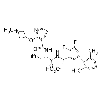 Cc1cccc(C)c1-c1cc(F)c(F)c([C@H](CC(=O)O)NC(=O)[C@H](CC(C)C)NC(=O)c2cccnc2OC2CN(C)C2)c1